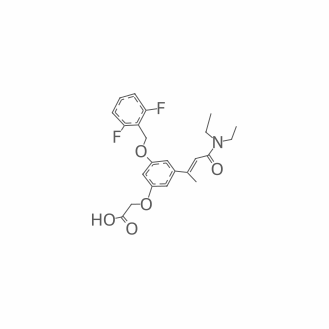 CCN(CC)C(=O)C=C(C)c1cc(OCC(=O)O)cc(OCc2c(F)cccc2F)c1